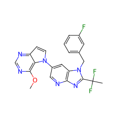 COc1ncnc2ccn(-c3cnc4nc(C(C)(F)F)n(Cc5cccc(F)c5)c4c3)c12